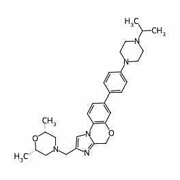 CC(C)N1CCN(c2ccc(-c3ccc4c(c3)OCc3nc(CN5C[C@@H](C)O[C@@H](C)C5)cn3-4)cc2)CC1